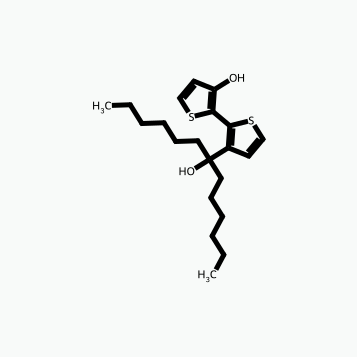 CCCCCCC(O)(CCCCCC)c1ccsc1-c1sccc1O